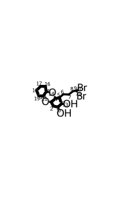 Oc1cc2c(c(CCCC(Br)Br)c1O)Oc1ccccc1O2